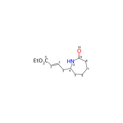 CCOC(=O)C=CCC1CCCCC(=O)N1